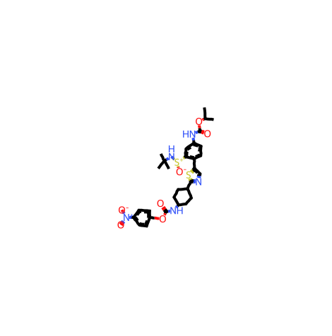 CC(C)OC(=O)Nc1ccc(-c2cnc(C3CCC(NC(=O)Oc4ccc([N+](=O)[O-])cc4)CC3)s2)c([S+]([O-])NC(C)(C)C)c1